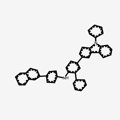 c1ccc(-c2cc(-c3ccc4c(c3)c3ccccc3n4-c3ccccc3)ccc2Nc2ccc(-c3ccc4ccccc4c3)cc2)cc1